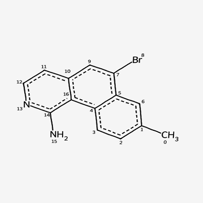 Cc1ccc2c(c1)c(Br)cc1ccnc(N)c12